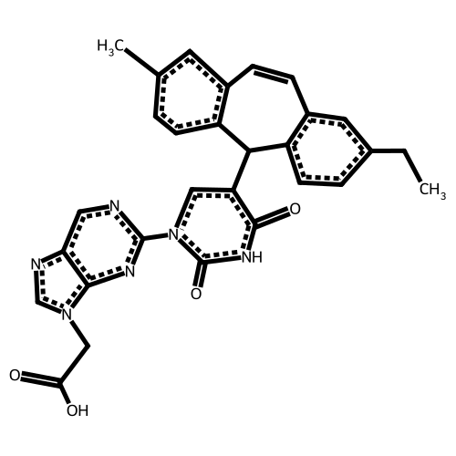 CCc1ccc2c(c1)C=Cc1cc(C)ccc1C2c1cn(-c2ncc3ncn(CC(=O)O)c3n2)c(=O)[nH]c1=O